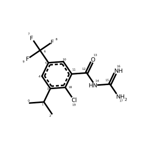 CC(C)c1cc(C(F)(F)F)cc(C(=O)NC(=N)N)c1Cl